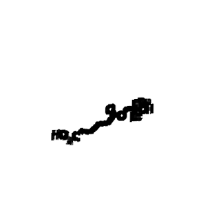 CCCCC(O)(CC)COC(=O)CCCCC(=O)O